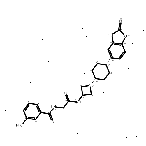 Cc1cccc(C(=O)NCC(=O)NC2CN([C@H]3CC[C@@H](c4ccc5oc(=O)[nH]c5c4)CC3)C2)c1